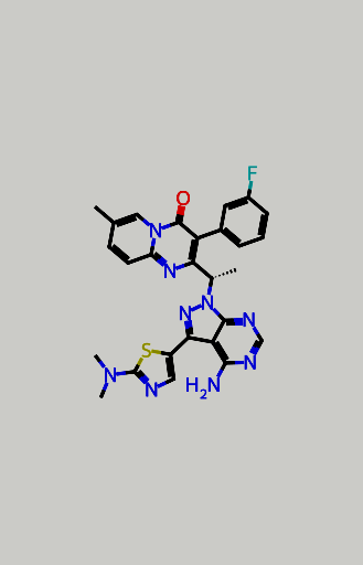 Cc1ccc2nc([C@H](C)n3nc(-c4cnc(N(C)C)s4)c4c(N)ncnc43)c(-c3cccc(F)c3)c(=O)n2c1